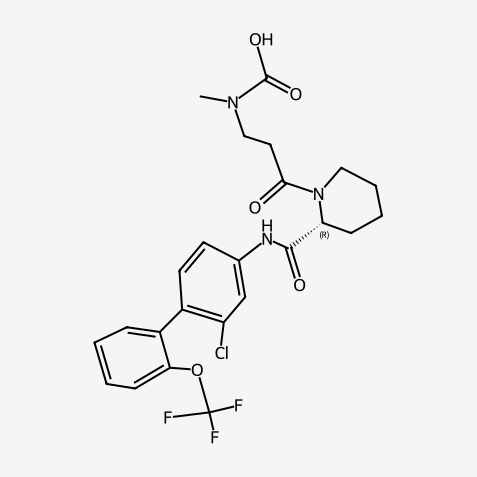 CN(CCC(=O)N1CCCC[C@@H]1C(=O)Nc1ccc(-c2ccccc2OC(F)(F)F)c(Cl)c1)C(=O)O